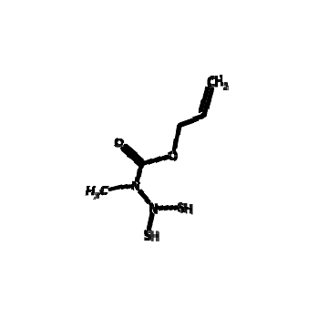 C=CCOC(=O)N(C)N(S)S